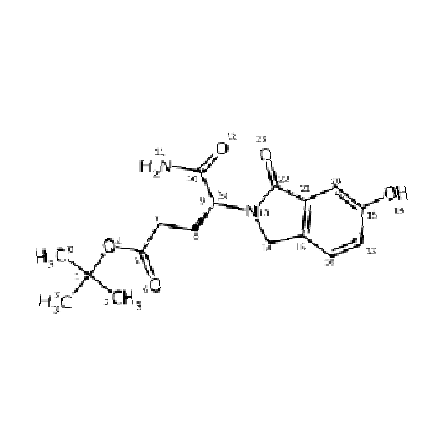 CC(C)(C)OC(=O)CC[C@@H](C(N)=O)N1Cc2ccc(O)cc2C1=O